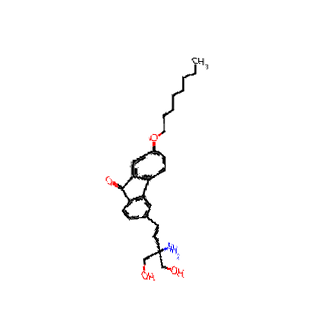 CCCCCCCCOc1ccc2c(c1)C(=O)c1ccc(CCC(N)(CO)CO)cc1-2